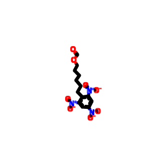 O=COCCCCCCc1c([N+](=O)[O-])cc([N+](=O)[O-])cc1[N+](=O)[O-]